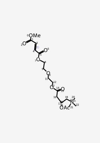 COC(=O)/C=C/C(=O)OCCOCCOC(=O)C[C@H](C[N+](C)(C)C)OC(C)=O